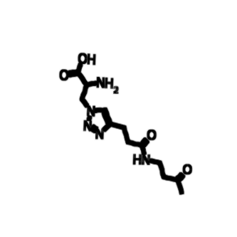 CC(=O)CCNC(=O)CCc1cn(CC(N)C(=O)O)nn1